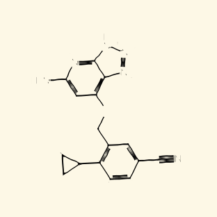 N#Cc1ccc(C2CC2)c(CSc2cc(N)nc3[nH]nnc23)c1